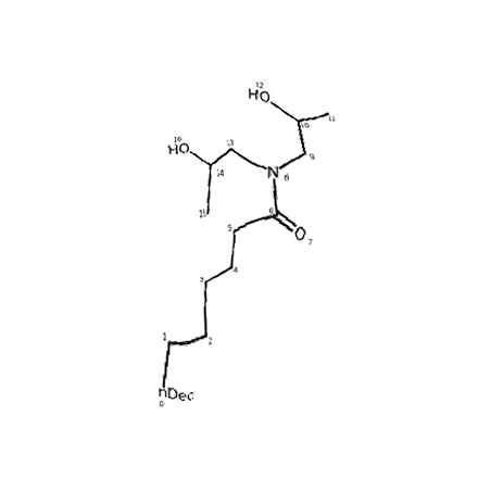 CCCCCCCCCCCCCCCC(=O)N(CC(C)O)CC(C)O